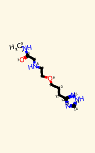 CNC(=O)CNCCOCCCc1nc[nH]n1